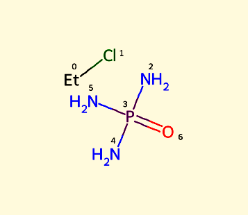 CCCl.NP(N)(N)=O